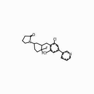 O=C1CCCN1C1CCC(F)(F)C(Cc2c(Cl)cc(-c3cccnc3)cc2Cl)C1